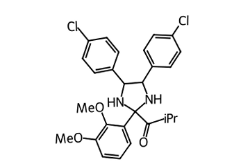 COc1cccc(C2(C(=O)C(C)C)NC(c3ccc(Cl)cc3)C(c3ccc(Cl)cc3)N2)c1OC